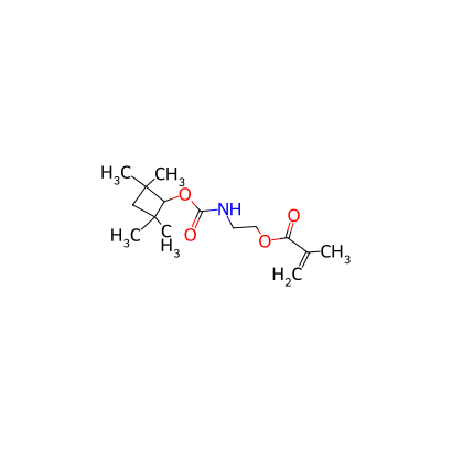 C=C(C)C(=O)OCCNC(=O)OC1C(C)(C)CC1(C)C